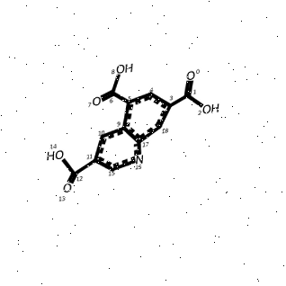 O=C(O)c1cc(C(=O)O)c2cc(C(=O)O)cnc2c1